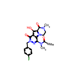 CNC(=O)N(C)c1nn(Cc2ccc(F)cc2)c(=O)c2c(O)c3n(c12)CCN(C)C3=O